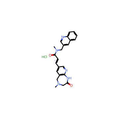 CN1CC(=O)Nc2ncc(/C=C/C(=O)N(C)Cc3cnc4ccccc4c3)cc2C1.Cl